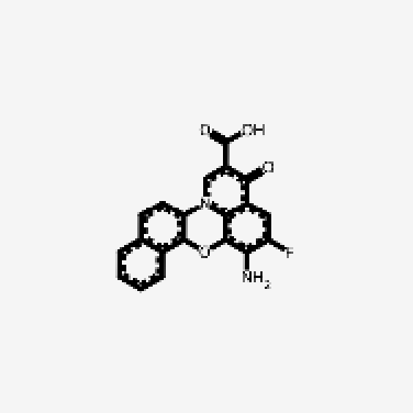 Nc1c(F)cc2c(=O)c(C(=O)O)cn3c2c1Oc1c-3ccc2ccccc12